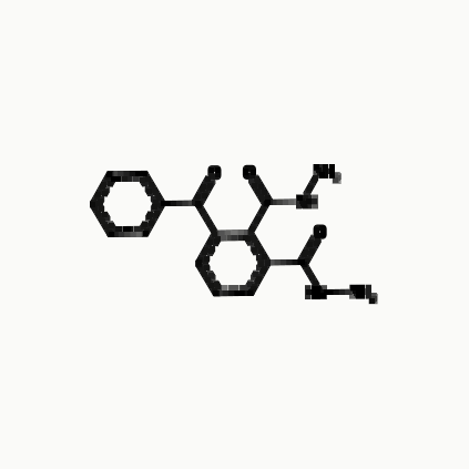 NNC(=O)c1cccc(C(=O)c2ccccc2)c1C(=O)NN